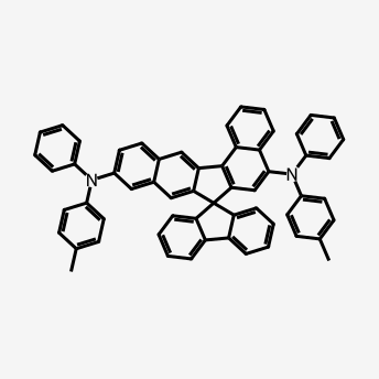 Cc1ccc(N(c2ccccc2)c2ccc3cc4c(cc3c2)C2(c3ccccc3-c3ccccc32)c2cc(N(c3ccccc3)c3ccc(C)cc3)c3ccccc3c2-4)cc1